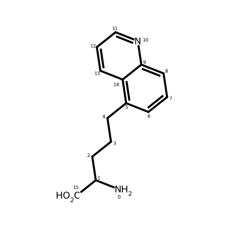 NC(CCCc1cccc2ncccc12)C(=O)O